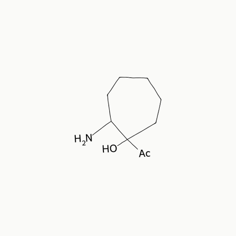 CC(=O)C1(O)CCCCCC1N